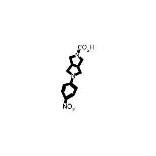 O=C(O)N1CC2CN(c3ccc([N+](=O)[O-])cc3)CC2C1